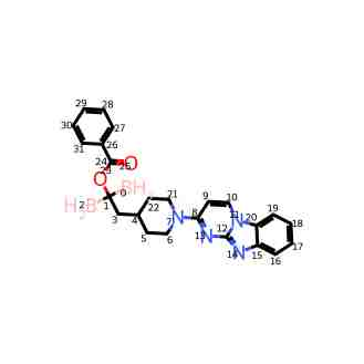 BC(B)(CC1CCN(c2ccn3c(n2)nc2ccccc23)CC1)OC(=O)c1ccccc1